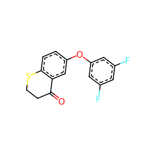 O=C1CCSc2ccc(Oc3cc(F)cc(F)c3)cc21